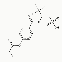 C=C(I)C(=O)Oc1ccc(C(=O)OC(CS(=O)(=O)O)C(F)(F)F)cc1